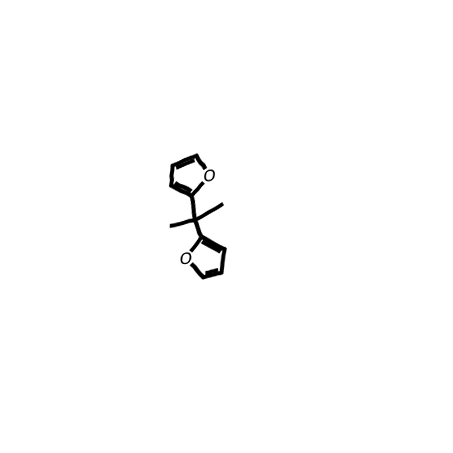 CC(C)(c1ccco1)c1ccco1